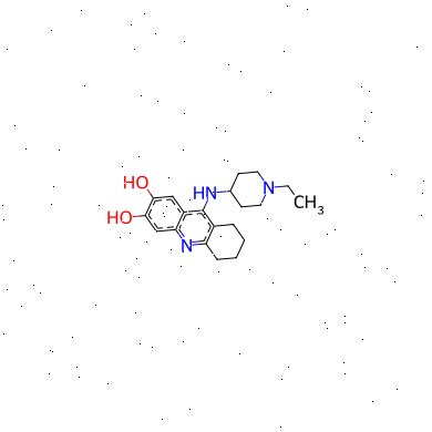 CCN1CCC(Nc2c3c(nc4cc(O)c(O)cc24)CCCC3)CC1